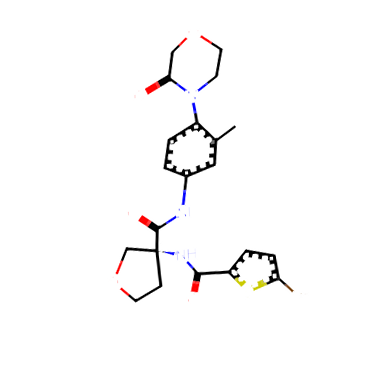 Cc1cc(NC(=O)[C@]2(NC(=O)c3ccc(Br)s3)CCOC2)ccc1N1CCOCC1=O